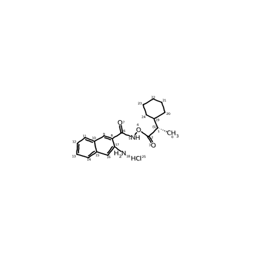 C[C@H](C(=O)ONC(=O)c1cc2ccccc2cc1N)C1CCCCC1.Cl